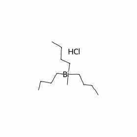 CCC[CH2][Bi]([CH3])([CH2]CCC)[CH2]CCC.Cl